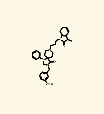 CC1C(=O)N(CCCN2CCC3(CC2)C(=O)N(Cc2cccc(C(=O)O)c2)CN3c2ccccc2)C2=C1C=CCC2